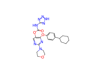 O=C(Nc1nn[nH]n1)Oc1cnc(N2CCOCC2)nc1Oc1ccc(C2CCCCC2)cc1